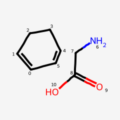 C1=CCCC=C1.NCC(=O)O